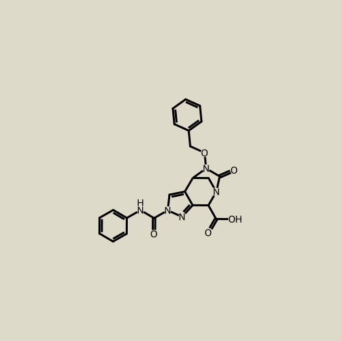 O=C(O)C1c2nn(C(=O)Nc3ccccc3)cc2C2CN1C(=O)N2OCc1ccccc1